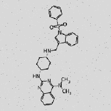 CN(C)c1nc(N[C@H]2CC[C@@H](NCc3cn(S(=O)(=O)c4ccccc4)c4ccccc34)CC2)nc2ccccc12